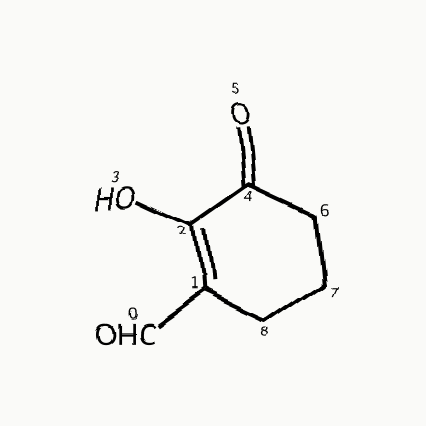 O=CC1=C(O)C(=O)CCC1